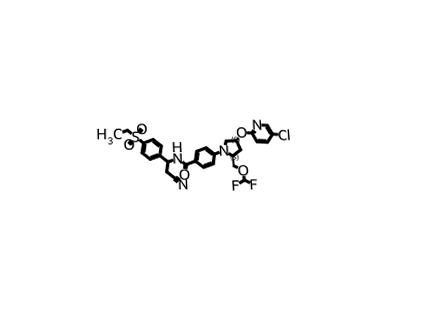 CCS(=O)(=O)c1ccc(C(CC#N)NC(=O)c2ccc(N3C[C@@H](Oc4ccc(Cl)cn4)C[C@H]3COC(F)F)cc2)cc1